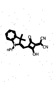 CCCN1/C(=C/C2=C(O)C(=C(C#N)C#N)C2=O)C(C)(C)c2ccccc21